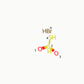 Br.O=[SH](=O)S